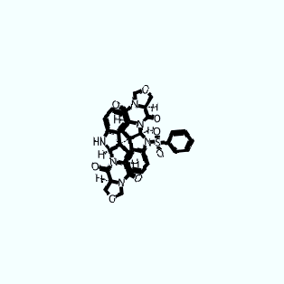 O=C1[C@@H]2C[C@]3(C45C[C@H]6C(=O)N7COC[C@H]7C(=O)N6[C@H]4N(S(=O)(=O)c4ccccc4)c4ccccc45)c4ccccc4N[C@@H]3N2C(=O)[C@@H]2COCN12